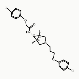 O=C(COc1ccc(Cl)cc1)N[C@@H]1[C@@H]2CN(CCCOc3ccc(Cl)cc3)C[C@@H]21